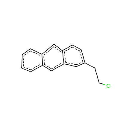 ClCCc1ccc2cc3ccccc3cc2c1